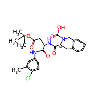 Cc1cc(NC(=O)C(CC(=O)OC(C)(C)C)NC(=O)[C@@H]2Cc3ccccc3CN2C(=O)O)ccc1Cl